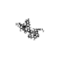 Cc1cc(N)nc(C#N)c1CNC(=O)c1ccnc(Cc2ccc3ncc(F)cc3c2)c1.Cc1cc(N)nc(C(F)(F)F)c1CNC(=O)c1ccnc(Cc2ccc3ncc(F)cc3c2)c1